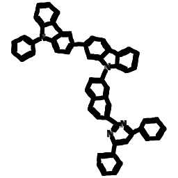 c1ccc(-c2cc(-c3ccccc3)nc(-c3ccc4ccc(-n5c6ccccc6c6ccc(-c7ccc8c(c7)c7ccccc7n8-c7ccccc7)cc65)cc4c3)n2)cc1